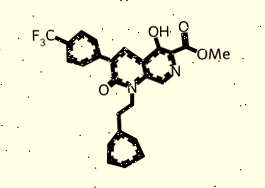 COC(=O)c1ncc2c(cc(-c3ccc(C(F)(F)F)cc3)c(=O)n2CCc2ccccc2)c1O